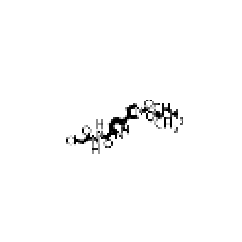 CC(C)(C)OC(=O)N1CCC(c2ccc(C(=O)NNC(=O)CCl)nn2)C1